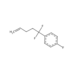 C=CCCC(F)(F)c1ccc(F)cc1